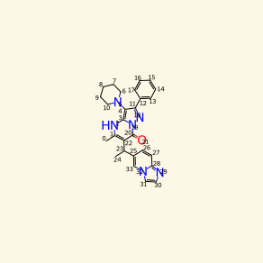 Cc1[nH]c2c(N3CCCCC3)c(-c3ccccc3)nn2c(=O)c1C(C)c1ccc2nccn2c1